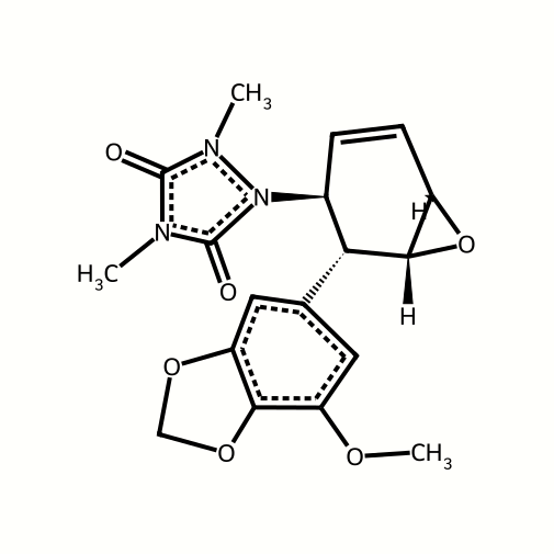 COc1cc([C@H]2[C@H]3O[C@H]3C=C[C@@H]2n2c(=O)n(C)c(=O)n2C)cc2c1OCO2